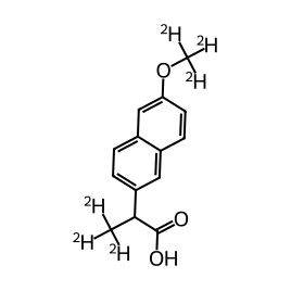 [2H]C([2H])([2H])Oc1ccc2cc(C(C(=O)O)C([2H])([2H])[2H])ccc2c1